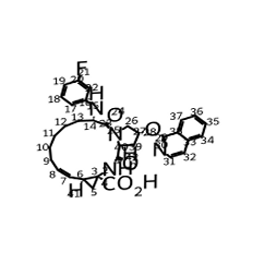 O=C1N[C@]2(C(=O)O)C[C@H]2/C=C\CCCCC[C@H](Nc2cccc(F)c2)C(=O)N2C[C@H](Oc3nccc4ccccc34)C[C@@H]12